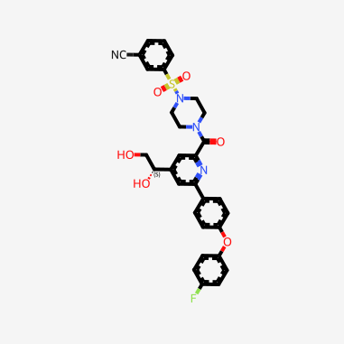 N#Cc1cccc(S(=O)(=O)N2CCN(C(=O)c3cc([C@H](O)CO)cc(-c4ccc(Oc5ccc(F)cc5)cc4)n3)CC2)c1